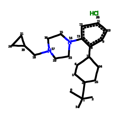 CC(C)(C)C1CCC(c2ccccc2N2CCN(CC3CC3)CC2)CC1.Cl